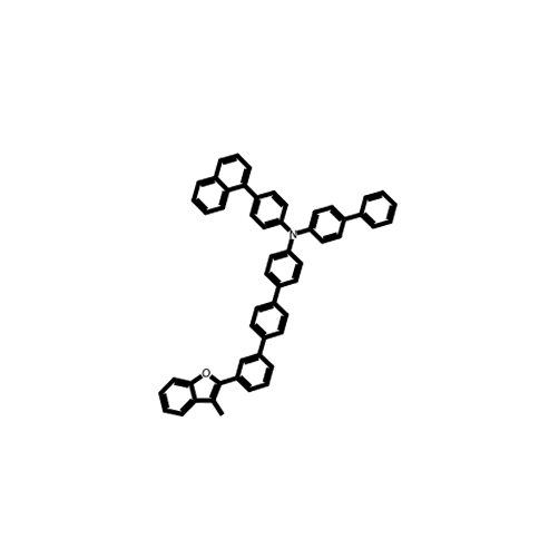 Cc1c(-c2cccc(-c3ccc(-c4ccc(N(c5ccc(-c6ccccc6)cc5)c5ccc(-c6cccc7ccccc67)cc5)cc4)cc3)c2)oc2ccccc12